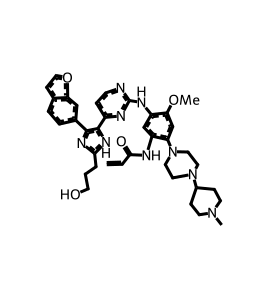 C=CC(=O)Nc1cc(Nc2nccc(-c3[nH]c(CCCO)nc3-c3ccc4ccoc4c3)n2)c(OC)cc1N1CCN(C2CCN(C)CC2)CC1